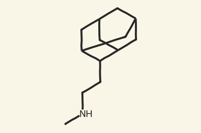 CNCCC1C2CC3CC(C2)CC1C3